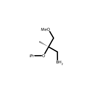 BC[C@](C)(COC)OC(C)C